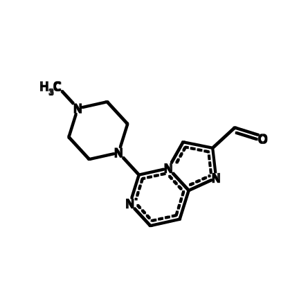 CN1CCN(c2nccc3nc(C=O)cn23)CC1